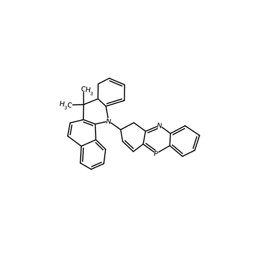 CC1(C)c2ccc3ccccc3c2N(C2C=Cc3pc4ccccc4nc3C2)C2=CC=CCC21